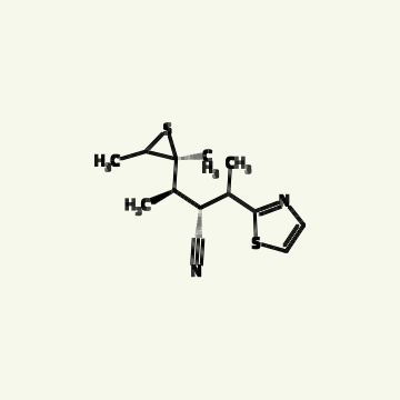 CC(c1nccs1)[C@H](C#N)[C@@H](C)[C@]1(C)SC1C